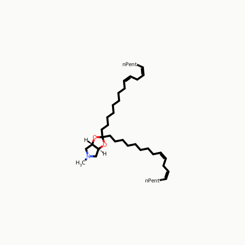 CCCCC/C=C\C/C=C\CCCCCCCCC1(CCCCCCCC/C=C\C/C=C\CCCCC)O[C@H]2CN(C)C[C@@H]2O1